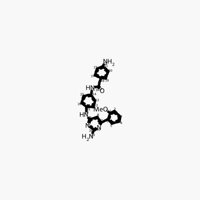 COc1ccccc1-c1cc(Nc2ccc(NC(=O)c3ccc(N)cc3)cc2)nc(N)n1